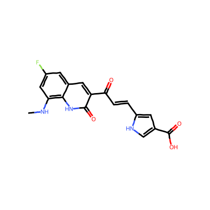 CNc1cc(F)cc2cc(C(=O)/C=C/c3cc(C(=O)O)c[nH]3)c(=O)[nH]c12